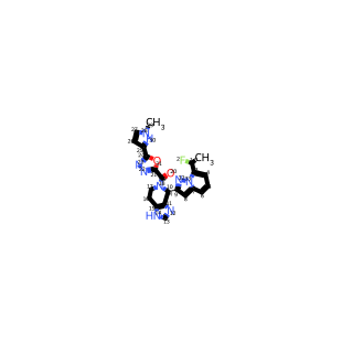 CC(F)c1cccc2cc([C@@H]3c4nc[nH]c4CCN3C(=O)c3nnc(-c4ccn(C)n4)o3)nn12